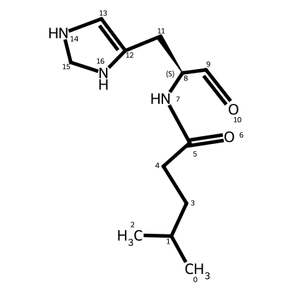 CC(C)CCC(=O)N[C@H](C=O)CC1=CNCN1